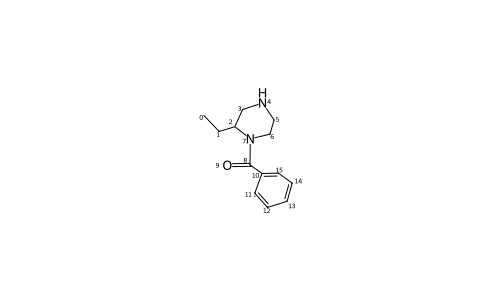 CCC1CNCCN1C(=O)c1[c]cccc1